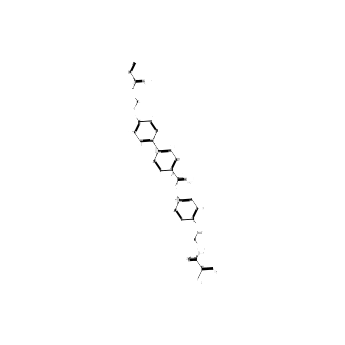 C=CC(=O)OCOc1ccc(-c2ccc(C(=O)Oc3ccc(OCOC(=O)C(=C)C)cc3)cc2)cc1